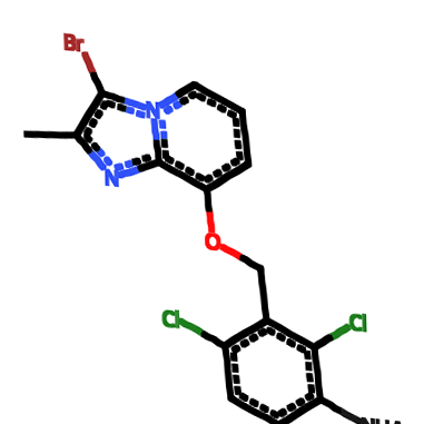 CC(=O)Nc1ccc(Cl)c(COc2cccn3c(Br)c(C)nc23)c1Cl